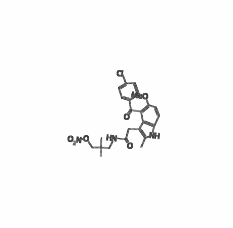 COc1ccc2[nH]c(C)c(CC(=O)NCC(C)(C)CO[N+](=O)[O-])c2c1C(=O)c1ccc(Cl)cc1